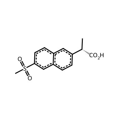 C[C@H](C(=O)O)c1ccc2cc(S(C)(=O)=O)ccc2c1